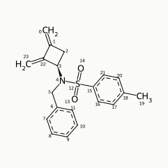 C=C1C[C@@H](N(Cc2ccccc2)S(=O)(=O)c2ccc(C)cc2)C1=C